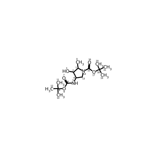 CC1C(O)C(NC(=O)OC(C)(C)C)CN1C(=O)OC(C)(C)C